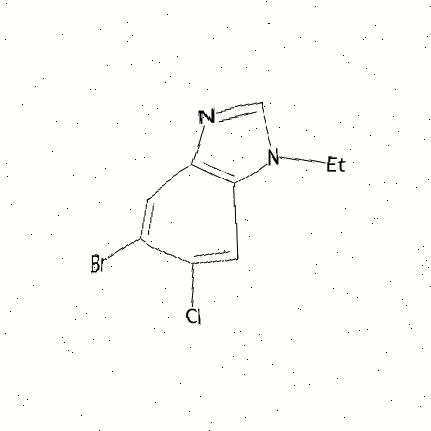 CCn1cnc2cc(Br)c(Cl)cc21